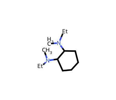 CCN(C)C1CCCCC1N(C)CC